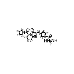 CC(=N)NC(=O)c1ccc(Cn2nc3n(c2=O)C(C(=O)N2CCCC2)CCC3)cc1